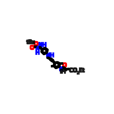 CCOC(=O)CCC(=O)N(c1cc(C)c(C#CCNc2ccc(C(=N)NC(=O)OC(C)(C)C)cc2)cc1C)C(C)C